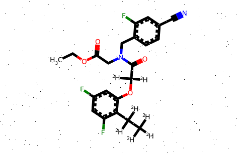 [2H]C([2H])(Oc1cc(F)cc(F)c1C([2H])([2H])C([2H])([2H])[2H])C(=O)N(CC(=O)OCC)Cc1ccc(C#N)cc1F